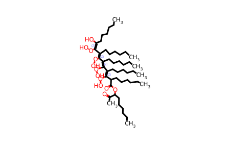 CCCCCC\C(O)=C(OO)/C(CCCCCC)=C(OO)/C(CCCCCC)=C(OO)/C(CCCCCC)=C(\OO)C(CCCCCC)C(=O)OC(CCCCCC)C(C)=O